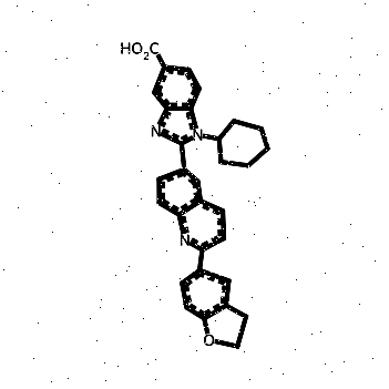 O=C(O)c1ccc2c(c1)nc(-c1ccc3nc(-c4ccc5c(c4)CCO5)ccc3c1)n2C1CCCCC1